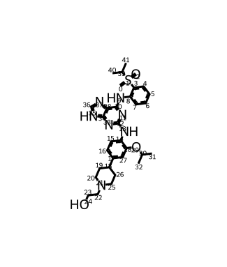 C=S(=O)(c1ccccc1Nc1nc(Nc2ccc(C3CCN(CCO)CC3)cc2OC(C)C)nc2[nH]cnc12)C(C)C